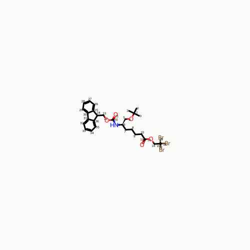 CC(C)(C)OC[C@@H](CCCCC(=O)OCC(Br)(Br)Br)NC(=O)OCC1c2ccccc2-c2ccccc21